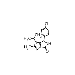 Cc1nc2c(n1C(C)C)C(c1ccc(Cl)cc1)NC2=O